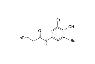 CCCCCCCCCCCC(=O)Nc1cc(CC)c(O)c(C(C)(C)C)c1